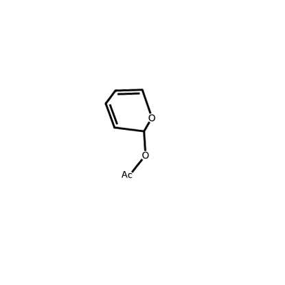 CC(=O)OC1C=CC=CO1